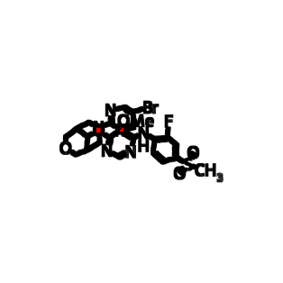 COc1c(Nc2ccc(S(C)(=O)=O)cc2F)ncnc1OC1C2COCC1CN(c1ncc(Br)cn1)C2